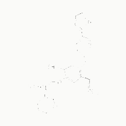 C=Cc1cc(OCN(C)C2CCCOC2)c(C=O)cc1Cc1ccc(-n2cccn2)cc1